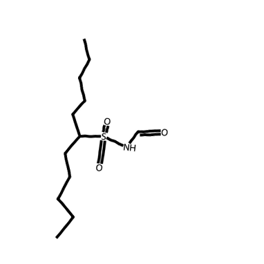 CCCCCC(CCCCC)S(=O)(=O)NC=O